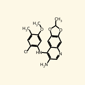 COc1cc(Nc2c(N)cnc3cc4c(cc23)OC(C)O4)c(Cl)cc1C